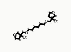 CCC1(COCCCCCCOCC2(CC)CCOC2)CCOC1